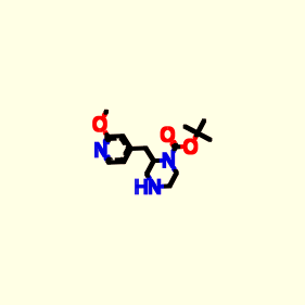 COc1cc(CC2CNCCN2C(=O)OC(C)(C)C)ccn1